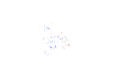 CCN[C@@H](CCC(N)=O)C(=O)N[C@H](C(=O)N[C@@H](CCCNC(N)=O)C(=O)Nc1ccc(COC(C)=O)c(C(=O)NC)c1)C(C)C